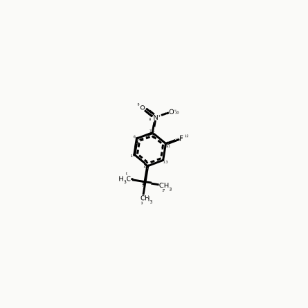 CC(C)(C)c1ccc([N+](=O)[O-])c(F)c1